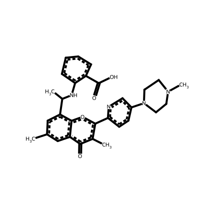 Cc1cc(C(C)Nc2ccccc2C(=O)O)c2oc(-c3ccc(N4CCN(C)CC4)cn3)c(C)c(=O)c2c1